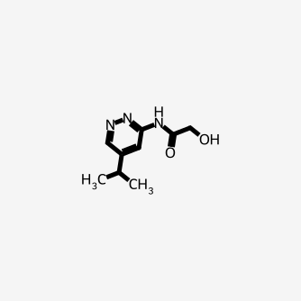 CC(C)c1cnnc(NC(=O)CO)c1